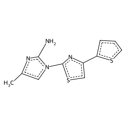 Cc1cn(-c2nc(-c3cccs3)cs2)c(N)n1